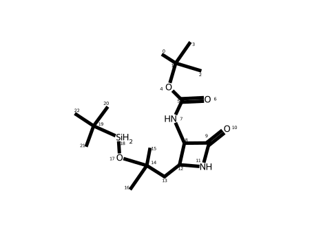 CC(C)(C)OC(=O)NC1C(=O)NC1CC(C)(C)O[SiH2]C(C)(C)C